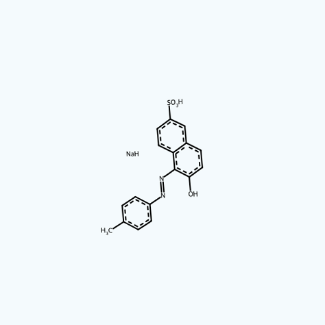 Cc1ccc(N=Nc2c(O)ccc3cc(S(=O)(=O)O)ccc23)cc1.[NaH]